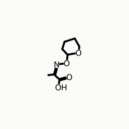 CC(=NOC1CCCCO1)C(=O)O